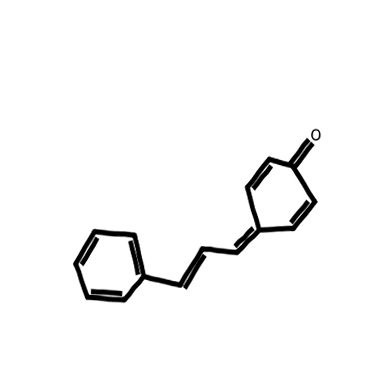 O=C1C=CC(=CC=Cc2ccccc2)C=C1